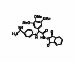 COc1cc(C(Nc2ccc(C(=N)N)cc2)C(=O)NN2C(=O)c3ccccc3C2=O)cc(OC)c1OC